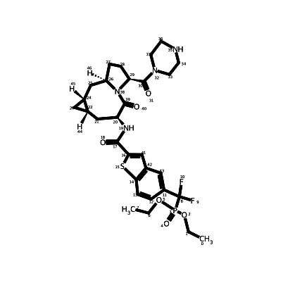 CCOP(=O)(OCC)C(F)(F)c1ccc2sc(C(=O)N[C@H]3C[C@@H]4C[C@@H]4C[C@H]4CC[C@@H](C(=O)N5CCNCC5)N4C3=O)cc2c1